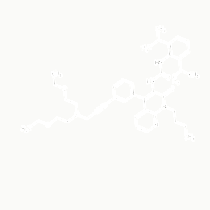 CCCCn1c(=O)c(NC(=O)Nc2c(C(C)C)cccc2C(C)C)c(-c2cccc(C#CCN(CCOCC)CCOCC)c2)c2cccnc21